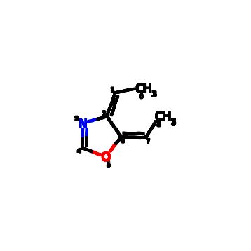 C/C=c1/nco/c1=C/C